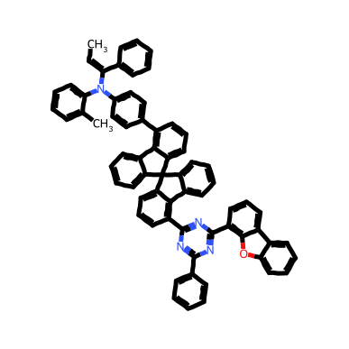 CC=C(c1ccccc1)N(c1ccc(-c2cccc3c2-c2ccccc2C32c3ccccc3-c3c(-c4nc(-c5ccccc5)nc(-c5cccc6c5oc5ccccc56)n4)cccc32)cc1)c1ccccc1C